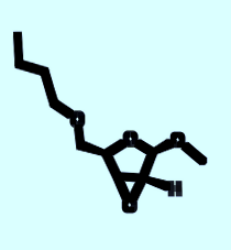 CCCCOC[C@H]1O[C@@H](OC)[C@@H]2OC21